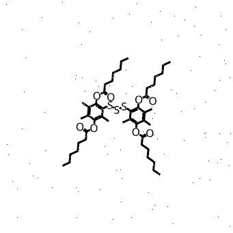 CCCCCCC(=O)Oc1c(C)c(C)c(OC(=O)CCCCCC)c(SSSc2c(C)c(OC(=O)CCCCCC)c(C)c(C)c2OC(=O)CCCCCC)c1C